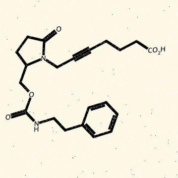 O=C(O)CCCC#CCN1C(=O)CCC1COC(=O)NCCc1ccccc1